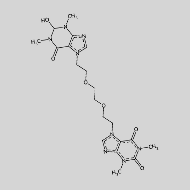 CN1C(=O)c2c(ncn2CCOCCOCCn2cnc3c2c(=O)n(C)c(=O)n3C)N(C)C1O